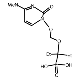 CCC(CC)(OCOn1ccc(NC)nc1=O)P(=O)(O)O